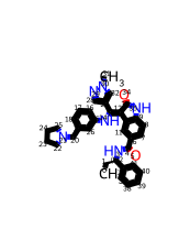 CC[C@@H](NC(=O)c1ccc2c(c1)C(=C(Nc1cccc(CN3CCCC3)c1)c1cnn(C)c1)C(=O)N2)c1ccccc1